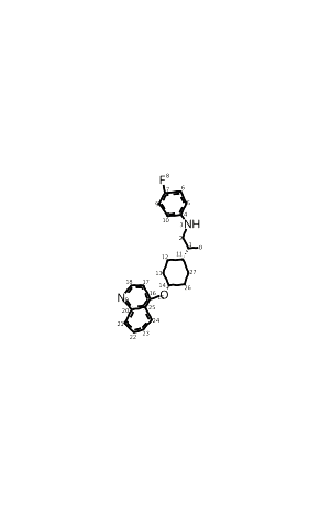 CC(CNc1ccc(F)cc1)[C@H]1CC[C@@H](Oc2ccnc3ccccc23)CC1